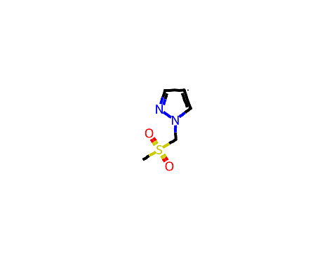 CS(=O)(=O)Cn1c[c]cn1